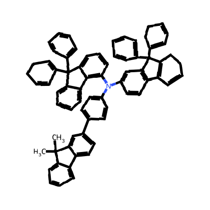 CC1(C)c2ccccc2-c2ccc(-c3ccc(N(c4ccc5c(c4)C(C4=CC=CCC4)(c4ccccc4)C4=C5C=CCC4)c4cccc5c4-c4ccccc4C5(C4=CCCC=C4)c4ccccc4)cc3)cc21